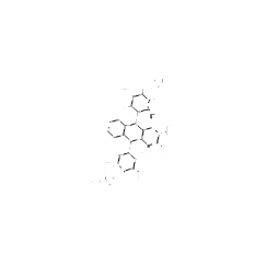 COc1c(F)c(F)c(-c2c3ccccc3c(-c3c(F)c(F)c(OC)c(F)c3F)c3c(F)c(F)c(F)c(F)c23)c(F)c1F